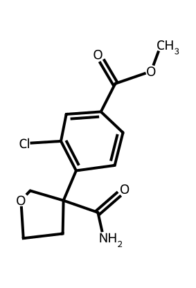 COC(=O)c1ccc(C2(C(N)=O)CCOC2)c(Cl)c1